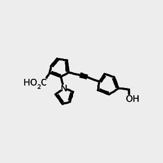 O=C(O)c1cccc(C#Cc2ccc(CO)cc2)c1-n1cccc1